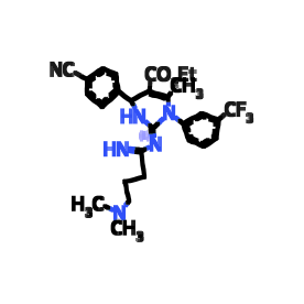 CCOC(=O)C1=C(C)N(c2cccc(C(F)(F)F)c2)/C(=N/C(=N)CCCN(C)C)NC1c1ccc(C#N)cc1